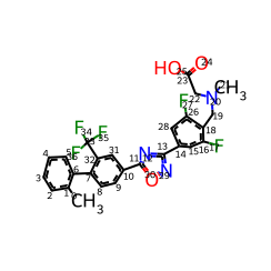 Cc1ccccc1-c1ccc(-c2nc(-c3cc(F)c(CN(C)CC(=O)O)c(F)c3)no2)cc1C(F)(F)F